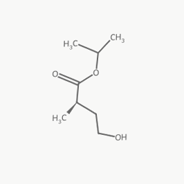 CC(C)OC(=O)[C@H](C)CCO